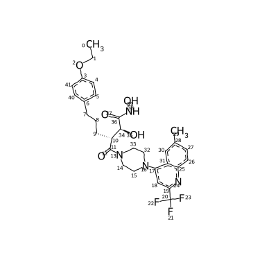 CCOc1ccc(CCC[C@@H](C(=O)N2CCN(c3cc(C(F)(F)F)nc4ccc(C)cc34)CC2)[C@H](O)C(=O)NO)cc1